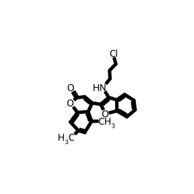 Cc1cc(C)c2c(-c3oc4ccccc4c3NCCCCl)cc(=O)oc2c1